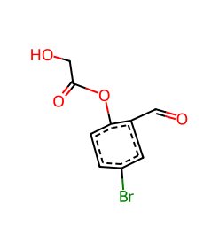 O=Cc1cc(Br)ccc1OC(=O)CO